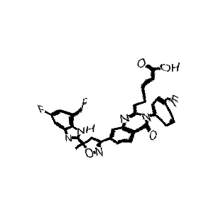 CC1(c2nc3cc(F)cc(F)c3[nH]2)CC(c2ccc3c(=O)n(-c4ccc(F)cc4)c(CCCCC(=O)O)nc3c2)=NO1